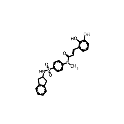 CN(C(=O)C=Cc1cccc(O)c1O)c1ccc(S(=O)(=O)NC2Cc3ccccc3C2)cc1